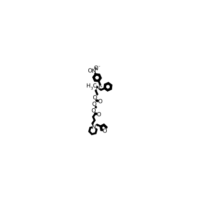 C[N+](CCOC(=O)OCOC(=O)CCC[N+]1(Cc2ccoc2)CCCCC1)(Cc1ccccc1)Cc1ccc([N+](=O)[O-])cc1